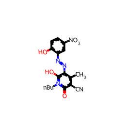 CCCCn1c(O)c(/N=N/c2cc([N+](=O)[O-])ccc2O)c(C)c(C#N)c1=O